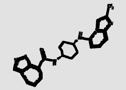 O=C(N[C@H]1CC[C@@H](Nc2cccc3nc(C(F)(F)F)cn23)CC1)c1cccc2cnsc12